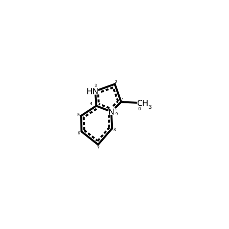 Cc1c[nH]c2cccc[n+]12